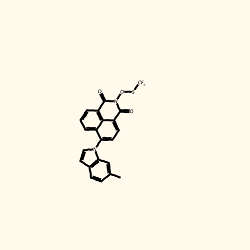 Cc1ccc2ccn(-c3ccc4c5c(cccc35)C(=O)N(OSC(F)(F)F)C4=O)c2c1